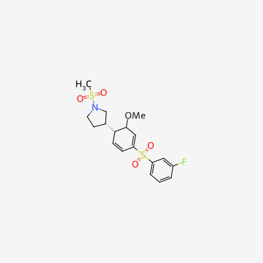 COC1C=C(S(=O)(=O)c2cccc(F)c2)C=CC1[C@@H]1CCN(S(C)(=O)=O)C1